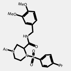 COc1ccc(CNC(=O)C2CN(C(C)=O)CCN2S(=O)(=O)c2ccc(C(C)C)cc2)cc1OC